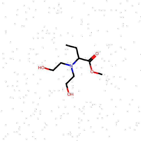 CCC(C(=O)OC)N(CCO)CCO